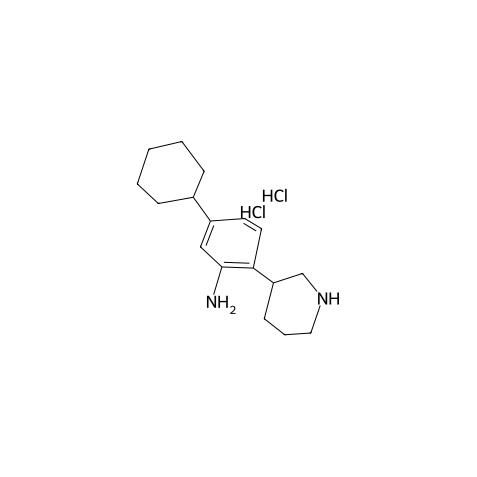 Cl.Cl.Nc1cc(C2CCCCC2)ccc1C1CCCNC1